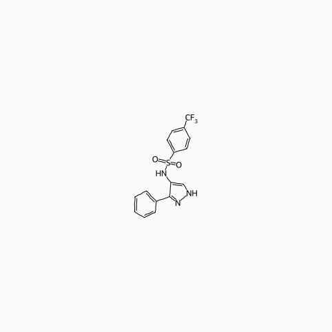 O=S(=O)(Nc1c[nH]nc1-c1ccccc1)c1ccc(C(F)(F)F)cc1